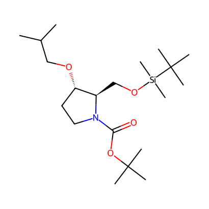 CC(C)CO[C@H]1CCN(C(=O)OC(C)(C)C)[C@@H]1CO[Si](C)(C)C(C)(C)C